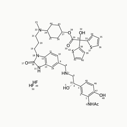 CC(=O)Nc1cc([C@H](O)CNCc2ccc3c(c2)[nH]c(=O)n3CCCN(C)C2CCC(OC(=O)C(O)(c3cccs3)c3cccs3)CC2)ccc1O.F.F